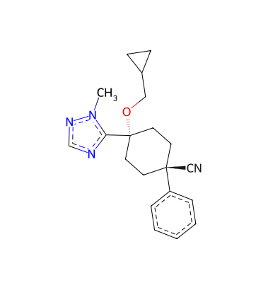 Cn1ncnc1[C@]1(OCC2CC2)CC[C@@](C#N)(c2ccccc2)CC1